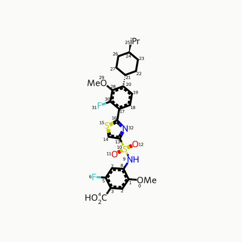 COc1cc(C(=O)O)c(F)cc1NS(=O)(=O)c1csc(-c2ccc([C@H]3CC[C@H](C(C)C)CC3)c(OC)c2F)n1